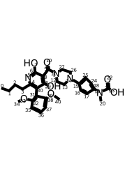 CCCCc1nc(O)c(C(=O)N2CCN(c3ccc(N(C)C(=O)O)cc3)CC2)c(O)c1-c1c(OC)cccc1OC